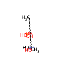 CCCCCCCCCCCCCCCCCCCCCC[N+](C)(C)O.OP(O)O